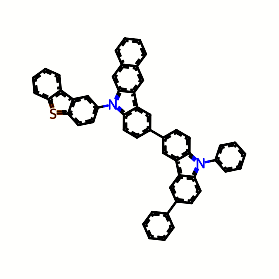 c1ccc(-c2ccc3c(c2)c2cc(-c4ccc5c(c4)c4cc6ccccc6cc4n5-c4ccc5sc6ccccc6c5c4)ccc2n3-c2ccccc2)cc1